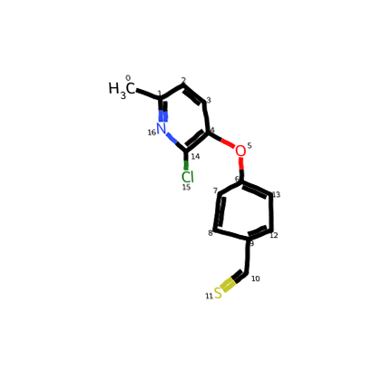 Cc1ccc(Oc2ccc(C=S)cc2)c(Cl)n1